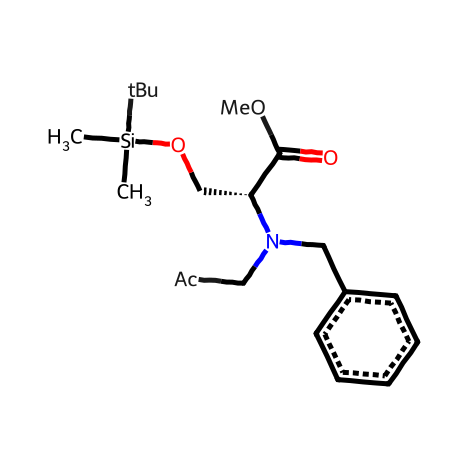 COC(=O)[C@@H](CO[Si](C)(C)C(C)(C)C)N(CC(C)=O)Cc1ccccc1